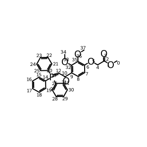 COC(=O)COc1ccc(C(=O)C=P(c2ccccc2)(c2ccccc2)c2ccccc2)c(OC)c1OC